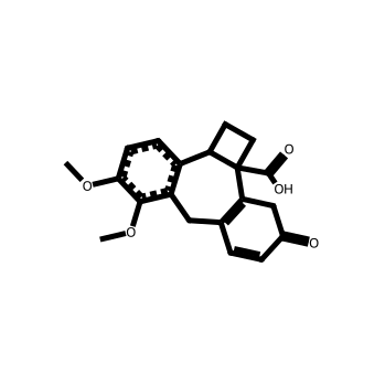 COc1ccc2c(c1OC)CC1=C(CC(=O)C=C1)C1(C(=O)O)CCC21